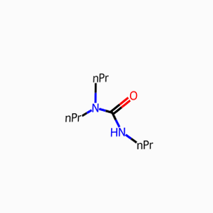 [CH2]CCN(CCC)C(=O)NCCC